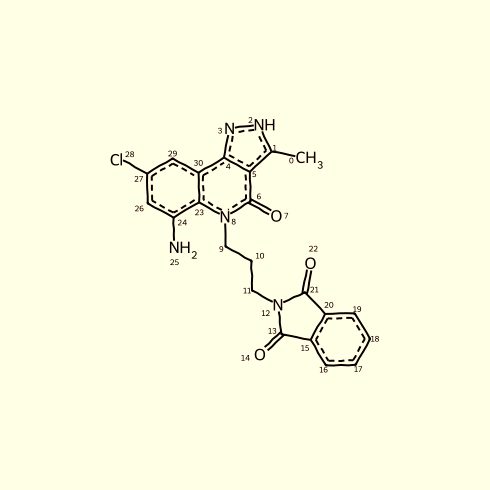 Cc1[nH]nc2c1c(=O)n(CCCN1C(=O)c3ccccc3C1=O)c1c(N)cc(Cl)cc21